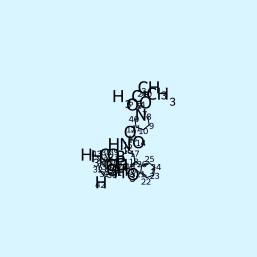 CC(C)(C)OC(=O)N1CCC[C@H](OC(=O)N[C@@H](Cc2coc3ccccc23)B2O[C@@H]3C[C@@H]4C[C@@H](C4(C)C)[C@]3(C)O2)C1